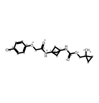 CC1(COC(=O)NC23CC(NC(=O)COc4ccc(Cl)cc4)(C2)C3)CC1